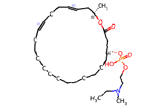 CCN(C)CCOP(=O)(O)O[C@@H]1CCCCCCCCCCCC/C=C\CC/C=C/C[C@H](C)OC(=O)C1